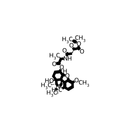 COc1ccc(C)c2c1O[C@H]1C(OC(=O)[C@H](C)NC(=O)C[C@@H]3OC(C)(C)OC3=O)=CC[C@@]3(O)[C@@H](C)N(C)CC[C@]213